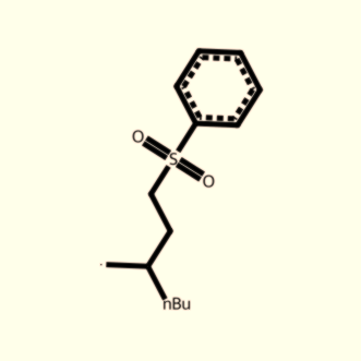 [CH2]C(CCCC)CCS(=O)(=O)c1ccccc1